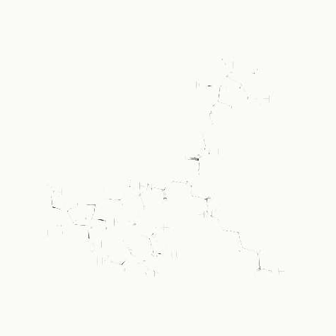 CC(=O)CCCCCNC(=O)CN(CC(=O)NCCO[C@@H]1O[C@@H](C)[C@@H](O)[C@@H](O)[C@@H]1O)CC(=O)NC(CCO[C@H]1O[C@H](CO)[C@@H](O)[C@H](O)[C@@H]1O)CO[C@H]1O[C@H](CO)[C@@H](O)[C@H](O)[C@@H]1O